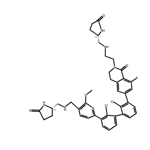 COc1nc(-c2cccc(-c3cccc(-c4cc(F)c5c(c4)CCN(CCNC[C@@H]4CCC(=O)N4)C5=O)c3Cl)c2Cl)ccc1CNC[C@@H]1CCC(=O)N1